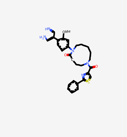 COc1cc(N2CCCCCN(C(=O)c3csc(-c4ccccc4)n3)CCCC2=O)ccc1/C(C=N)=C/N